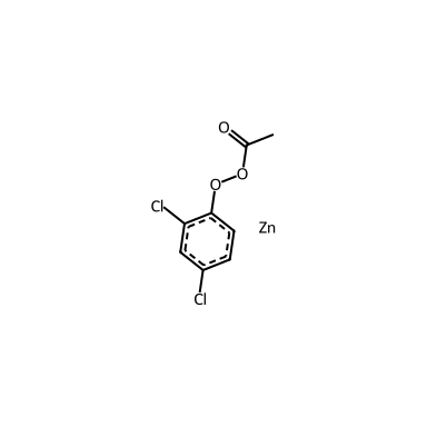 CC(=O)OOc1ccc(Cl)cc1Cl.[Zn]